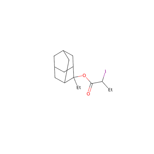 CCC(I)C(=O)OC1(CC)C2CC3CC(C2)CC1C3